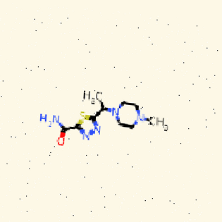 CC(c1nnc(C(N)=O)s1)N1CCN(C)CC1